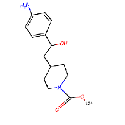 CC(C)(C)OC(=O)N1CCC(CC(O)c2ccc(N)cc2)CC1